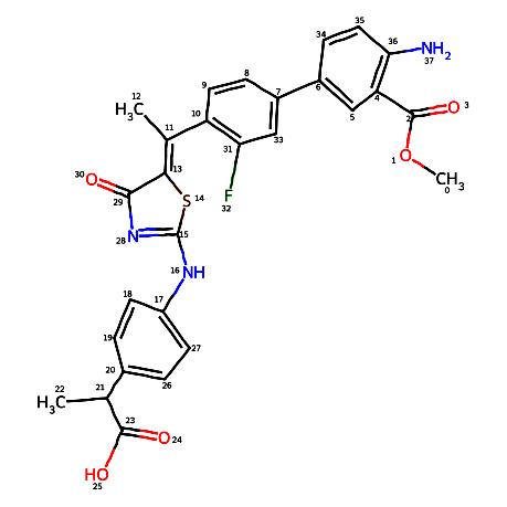 COC(=O)c1cc(-c2ccc(C(C)=C3SC(Nc4ccc(C(C)C(=O)O)cc4)=NC3=O)c(F)c2)ccc1N